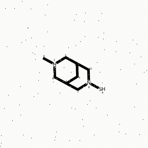 CN1CC2CC(C1)CN(S)C2